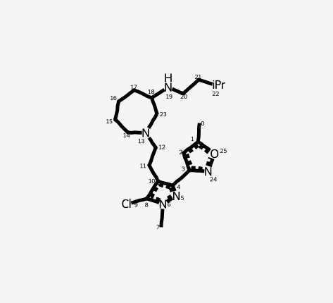 Cc1cc(-c2nn(C)c(Cl)c2CCN2CCCCC(NCCC(C)C)C2)no1